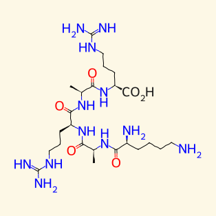 C[C@H](NC(=O)[C@H](CCCNC(=N)N)NC(=O)[C@H](C)NC(=O)[C@@H](N)CCCCN)C(=O)N[C@@H](CCCNC(=N)N)C(=O)O